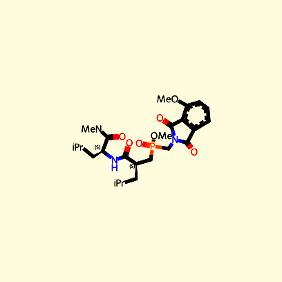 CNC(=O)[C@H](CC(C)C)NC(=O)[C@H](CC(C)C)CP(=O)(CN1C(=O)c2cccc(OC)c2C1=O)OC